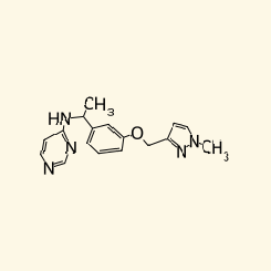 CC(Nc1ccncn1)c1cccc(OCc2ccn(C)n2)c1